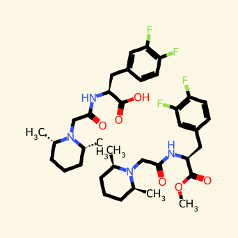 COC(=O)[C@H](Cc1ccc(F)c(F)c1)NC(=O)CN1[C@H](C)CCC[C@@H]1C.C[C@@H]1CCC[C@H](C)N1CC(=O)N[C@@H](Cc1ccc(F)c(F)c1)C(=O)O